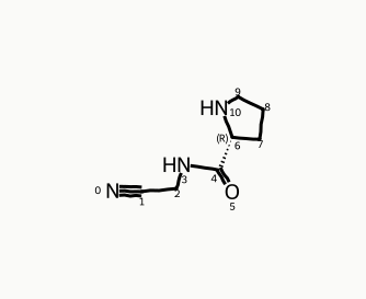 N#CCNC(=O)[C@H]1CCCN1